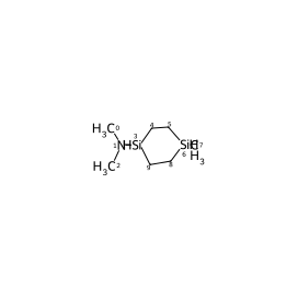 CN(C)[SiH]1CC[SiH](C)CC1